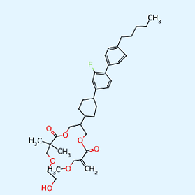 C=C(COC)C(=O)OCC(COC(=O)C(C)(C)COCCO)C1CCC(c2ccc(-c3ccc(CCCCC)cc3)c(F)c2)CC1